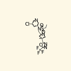 CCS(=O)(=O)N(Cc1ncc(-c2nnc(C(F)(F)F)o2)s1)c1cncc(Cl)c1